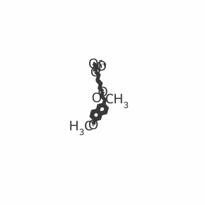 COc1ccc2cc([C@H](C)C(=O)OC/C=C/CO[N+](=O)[O-])ccc2c1